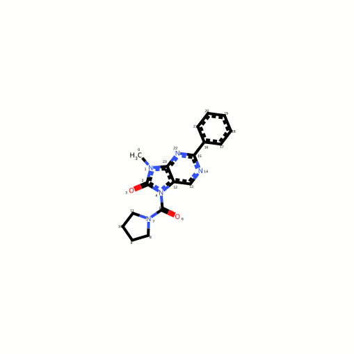 Cn1c(=O)n(C(=O)N2CCCC2)c2cnc(-c3ccccc3)nc21